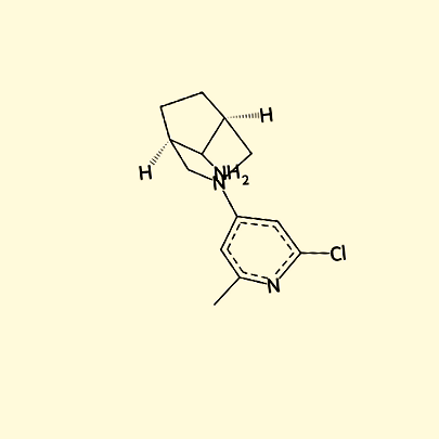 Cc1cc(N2C[C@H]3CC[C@@H](C2)C3N)cc(Cl)n1